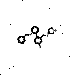 Fc1ccc(-c2ccccc2OCc2ccccc2)c(CO[C@H]2CCNC2)c1